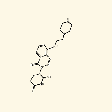 O=C1CCC(n2ncc3c(NCCN4CCNCC4)cccc3c2=O)C(=O)N1